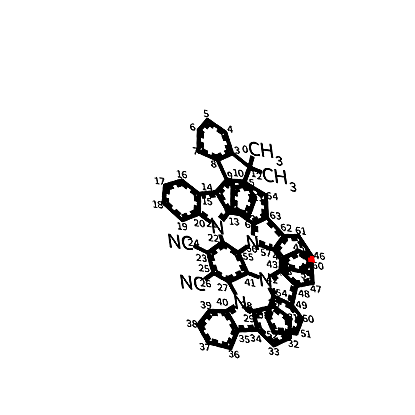 CC1(C)c2ccccc2-c2c1ccc1c2c2ccccc2n1-c1c(C#N)c(C#N)c(-n2c3ccccc3c3ccccc32)c(-n2c3ccccc3c3ccccc32)c1-n1c2ccccc2c2ccccc21